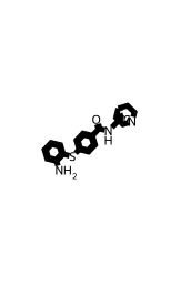 Nc1ccccc1Sc1ccc(C(=O)NC2CC3CCN(CC3)C2)cc1